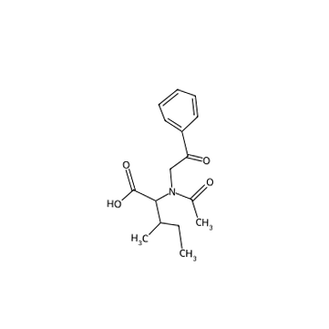 CCC(C)C(C(=O)O)N(CC(=O)c1ccccc1)C(C)=O